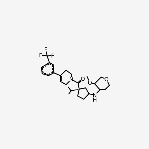 COC1COCCC1NC1CC[C@@](C(=O)N2CC=C(c3cccc(C(F)(F)F)c3)CC2)(C(C)C)C1